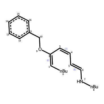 CCCC\C=C(/C=C\C=C\NCCCC)OCc1ccccc1